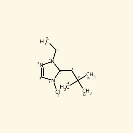 CCN1N=CN(Cl)C1CC(C)(C)C